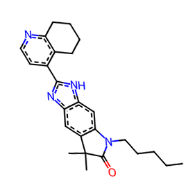 CCCCCN1C(=O)C(C)(C)c2cc3nc(-c4ccnc5c4CCCC5)[nH]c3cc21